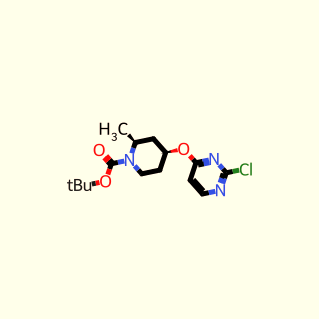 C[C@H]1C[C@@H](Oc2ccnc(Cl)n2)CCN1C(=O)OC(C)(C)C